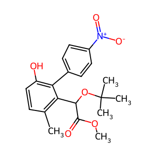 COC(=O)C(OC(C)(C)C)c1c(C)ccc(O)c1-c1ccc([N+](=O)[O-])cc1